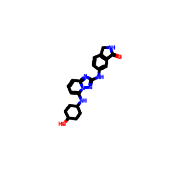 O=C1NCc2ccc(Nc3nc4cccc(NC5CCC(O)CC5)n4n3)cc21